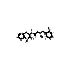 CN1C(=O)C(NC(=O)C[C@H](N)Cc2ccccc2F)Cc2ncccc21